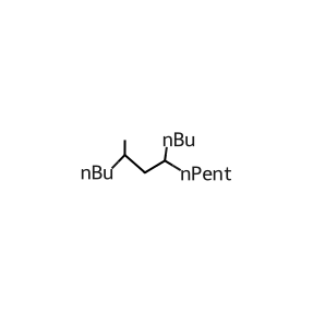 CCCCCC(CCCC)CC(C)CCCC